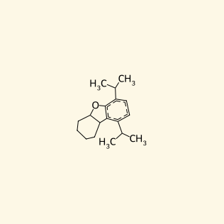 CC(C)c1ccc(C(C)C)c2c1OC1CCCCC21